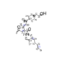 C=C(Cl)/C=C(C(=O)NC/C(=C/C/C=C/C)C(=C)C)\C(C)=C\N(C)C1CCN(CCO)CC1